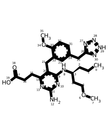 CCC[C@@H](CCOC)Nc1nc(N)nc(CCC(=O)O)c1Cc1cc(Cc2nn[nH]n2)ccc1OC